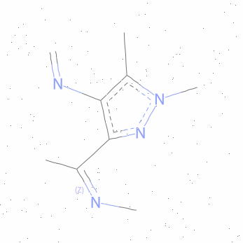 C=Nc1c(/C(C)=N\C)nn(C)c1C